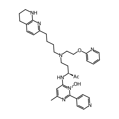 CC(=O)[C@H](CCN(CCCCc1ccc2c(n1)NCCC2)CCOc1ccccn1)Nc1cc(C)nc(-c2ccncc2)[n+]1O